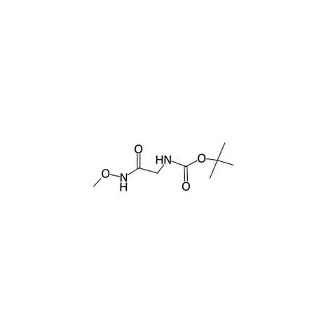 CONC(=O)CNC(=O)OC(C)(C)C